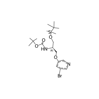 CC(C)(C)OC(=O)N[C@H](COc1cncc(Br)c1)CO[Si](C)(C)C(C)(C)C